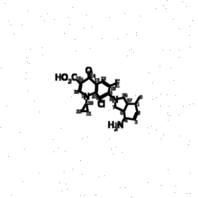 CC1C=CC(N)C2CN(c3c(F)cc4c(=O)c(C(=O)O)cn(C5CC5)c4c3Cl)CC12